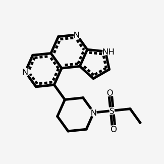 CCS(=O)(=O)N1CCCC(c2cncc3cnc4[nH]ccc4c23)C1